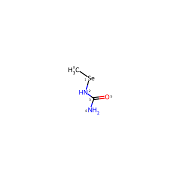 C[Se]NC(N)=O